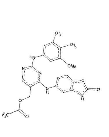 COc1cc(Nc2ncc(COC(=O)C(F)(F)F)c(Nc3ccc4oc(=O)[nH]c4c3)n2)cc(C)c1C